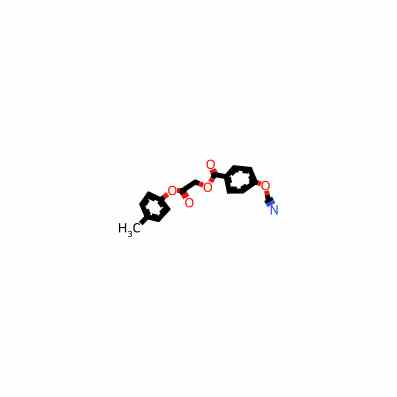 Cc1ccc(OC(=O)COC(=O)c2ccc(OC#N)cc2)cc1